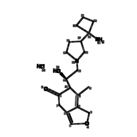 CC1=C2COC=C2CC(=O)C1[C@@H](O)CN1CCC(C2(N)CCC2)C1.Cl